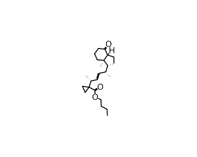 CCCCOC(=O)C1([C@H](C)/C=C/[C@@H](C)[C@H]2CC[C@H]3C(=O)CCC[C@]23C)CC1